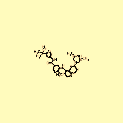 Cc1ccc(C(=O)Nc2cc(C(C)(C)C)on2)cc1Nc1ncnc2cnc(N3C[C@@H](C)N[C@@H](C)C3)nc12